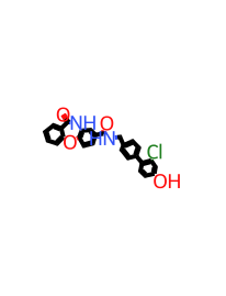 O=C(NCc1ccc(-c2ccc(O)cc2Cl)cc1)c1ccc2c(c1)NC(=O)c1ccccc1O2